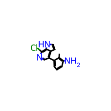 Cc1c(N)cccc1-c1cnc(Cl)c2[nH]ccc12